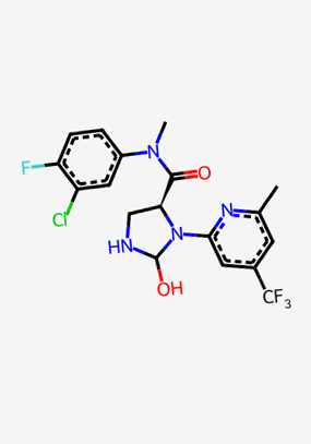 Cc1cc(C(F)(F)F)cc(N2C(O)NC[C@H]2C(=O)N(C)c2ccc(F)c(Cl)c2)n1